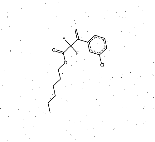 C=C(c1cccc(Cl)c1)C(F)(F)C(=O)OCCCCCC